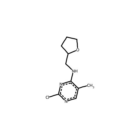 Cc1cnc(Cl)nc1NCC1CCCO1